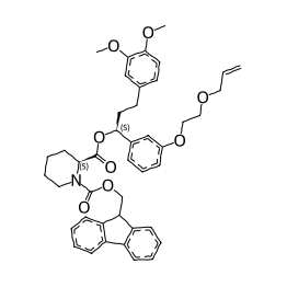 C=CCOCCOc1cccc([C@H](CCc2ccc(OC)c(OC)c2)OC(=O)[C@@H]2CCCCN2C(=O)OCC2c3ccccc3-c3ccccc32)c1